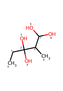 CCC(O)(O)C(C)[C](O)O